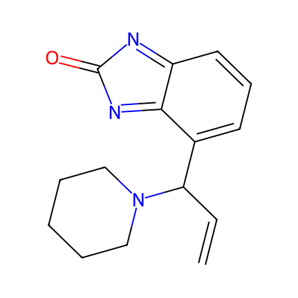 C=CC(c1cccc2c1=NC(=O)N=2)N1CCCCC1